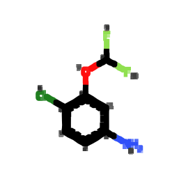 Nc1ccc(Cl)c(OC(F)F)c1